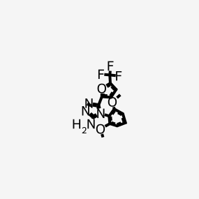 COc1cccc(OC)c1-n1c(N)nnc1-c1ccc(C(F)(F)F)o1